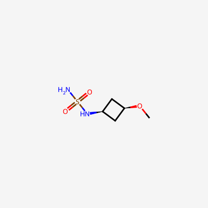 CO[C@H]1C[C@@H](NS(N)(=O)=O)C1